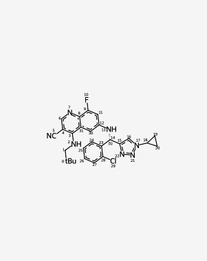 CC(C)(C)CNc1c(C#N)cnc2c(F)cc(N[C@H](c3cn(C4CC4)nn3)c3ccccc3Cl)cc12